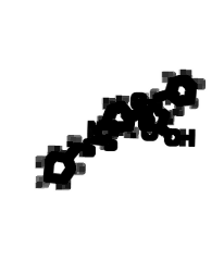 C[C@H](C(=O)O)N(Cc1ccccc1)S(=O)(=O)c1ccc2nc(SCC3CCCCC3)sc2c1